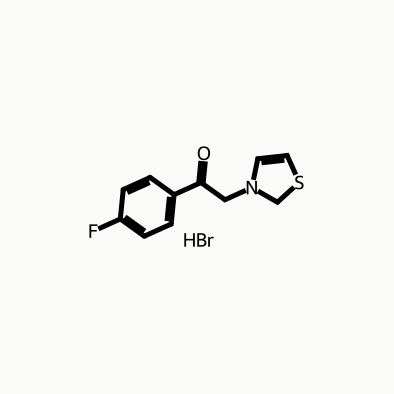 Br.O=C(CN1C=CSC1)c1ccc(F)cc1